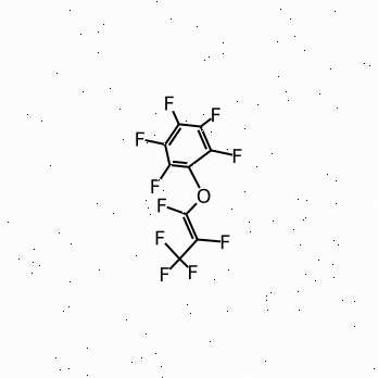 FC(Oc1c(F)c(F)c(F)c(F)c1F)=C(F)C(F)(F)F